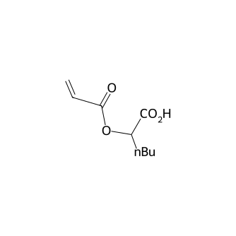 C=CC(=O)OC(CCCC)C(=O)O